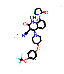 Cn1c(=O)c(C#N)c(N2CCC(Oc3ccc(OC(F)(F)F)cc3)CC2)c2cccc(N3CCCC3=O)c21